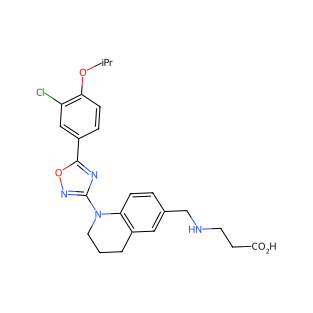 CC(C)Oc1ccc(-c2nc(N3CCCc4cc(CNCCC(=O)O)ccc43)no2)cc1Cl